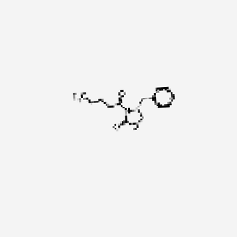 O=C(CCCC(F)(F)F)N1C(=O)OC[C@@H]1Cc1ccccc1